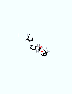 Nc1nccc(Sc2ccc3nc(N4C[C@H]5C[C@@H](C4)C5NC(=O)O)cnc3n2)c1Cl